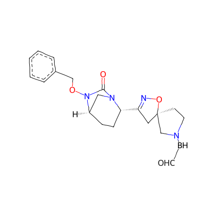 O=CBN1CC[C@@]2(CC([C@@H]3CC[C@@H]4CN3C(=O)N4OCc3ccccc3)=NO2)C1